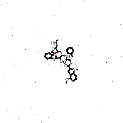 CNCC1OCCC1C[C@H](NC(=O)[C@H](Cc1ccccc1)NC(=O)c1cc2c(OC)cccc2[nH]1)C(=O)c1nc2ccccc2s1